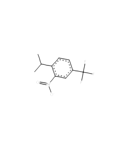 CC(C)c1ccc(C(F)(F)F)cc1[N+](=O)[O-]